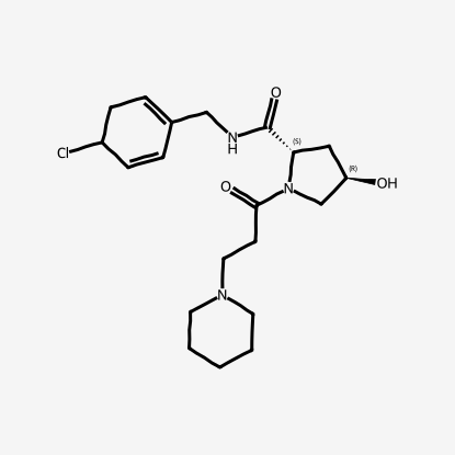 O=C(NCC1=CCC(Cl)C=C1)[C@@H]1C[C@@H](O)CN1C(=O)CCN1CCCCC1